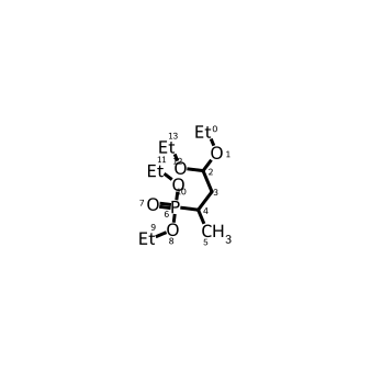 CCOC(CC(C)P(=O)(OCC)OCC)OCC